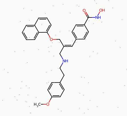 COc1ccc(CCNC/C(=C/c2ccc(C(=O)NO)cc2)COc2cccc3ccccc23)cc1